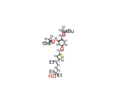 CCC(=CC=CC(O)(CC)CC)c1csc(COc2ccc(CO[Si](C)(C)C(C)(C)C)c(CO[Si](C)(C)C(C)(C)C)c2)c1